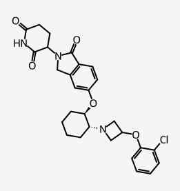 O=C1CCC(N2Cc3cc(O[C@@H]4CCCC[C@H]4N4CC(Oc5ccccc5Cl)C4)ccc3C2=O)C(=O)N1